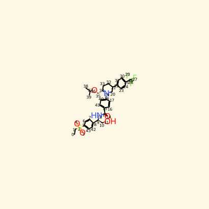 CCS(=O)(=O)c1ccc([C@H](CO)NC(=O)c2ccc(N3CC(c4ccc(C(F)(F)F)cc4)CC[C@H]3COC(C)C)cc2)cc1